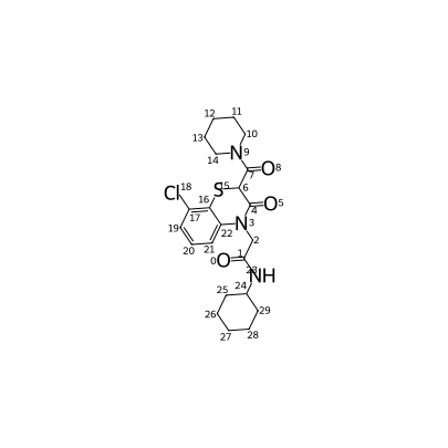 O=C(CN1C(=O)C(C(=O)N2CCCCC2)Sc2c(Cl)cccc21)NC1CCCCC1